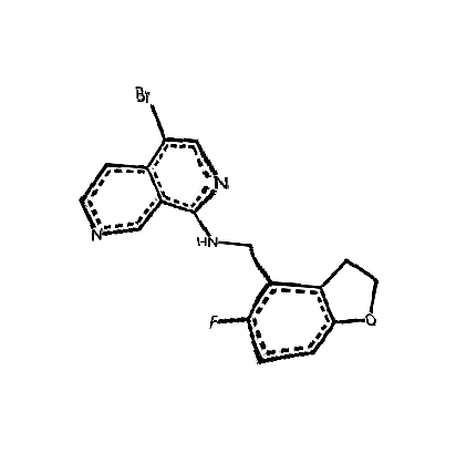 Fc1ccc2c(c1CNc1ncc(Br)c3ccncc13)CCO2